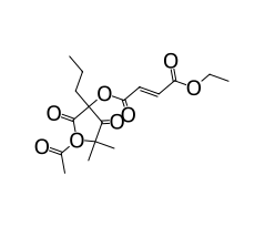 CCCC(OC(=O)C=CC(=O)OCC)(C(=O)OC(C)=O)C(=O)C(C)(C)C